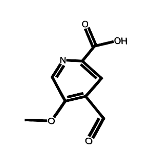 COc1cnc(C(=O)O)cc1C=O